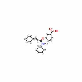 O=C(O)c1ccc(CN(C(=O)/C=C/c2ccccc2)c2ccccc2)cc1